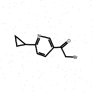 O=C(CBr)c1ccc(C2CC2)nc1